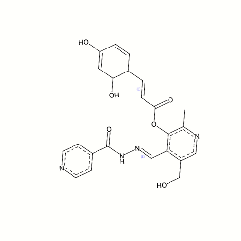 Cc1ncc(CO)c(/C=N/NC(=O)c2ccncc2)c1OC(=O)/C=C/C1C=CC(O)=CC1O